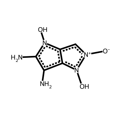 Nc1c(N)n(O)c2c[n+]([O-])n(O)c12